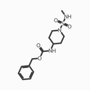 CNS(=O)(=O)N1CCC(NC(=O)OCc2ccccc2)CC1